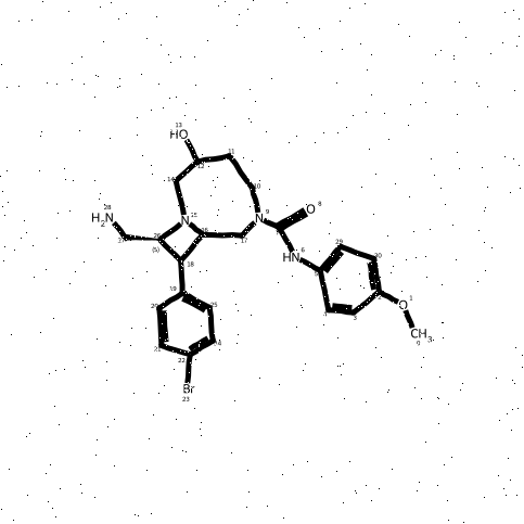 COc1ccc(NC(=O)N2CCC(O)CN3C(C2)C(c2ccc(Br)cc2)[C@H]3CN)cc1